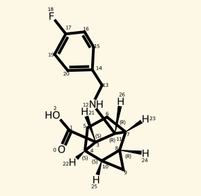 O=C(O)[C@H]1[C@H]2CC[C@H]([C@@H]3C[C@@H]32)[C@H]1NCc1ccc(F)cc1